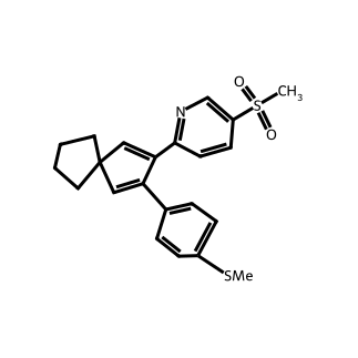 CSc1ccc(C2=CC3(C=C2c2ccc(S(C)(=O)=O)cn2)CCCC3)cc1